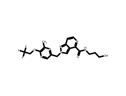 Cc1nc(Cn2cc3c(C(=O)NCCCO)nccc3n2)cnc1OCC(F)(F)F